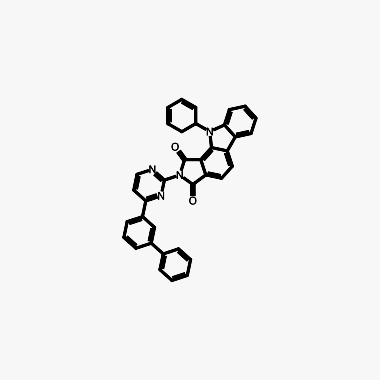 O=C1c2ccc3c4ccccc4n(C4C=CC=CC4)c3c2C(=O)N1c1nccc(-c2cccc(-c3ccccc3)c2)n1